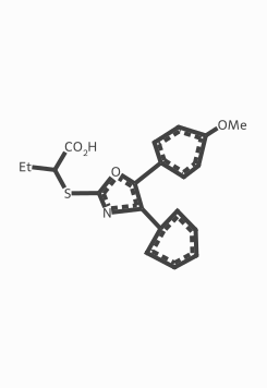 CCC(Sc1nc(-c2ccccc2)c(-c2ccc(OC)cc2)o1)C(=O)O